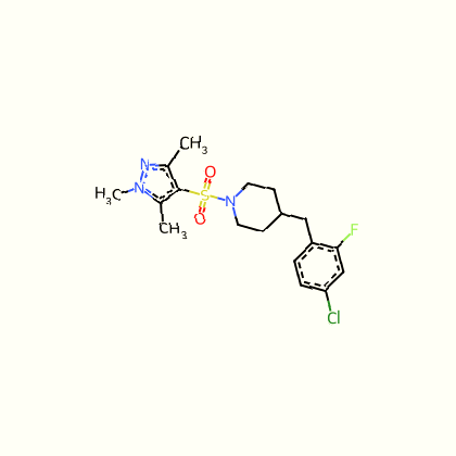 Cc1nn(C)c(C)c1S(=O)(=O)N1CCC(Cc2ccc(Cl)cc2F)CC1